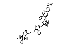 O=C(CCCCC1SCC2NC(=O)NC21)NCc1cn(-c2cc3ccc(O)cc3oc2=O)nn1